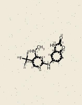 CNc1nc(Nc2ccc3oc(=O)[nH]c3c2)ncc1C(F)(F)F